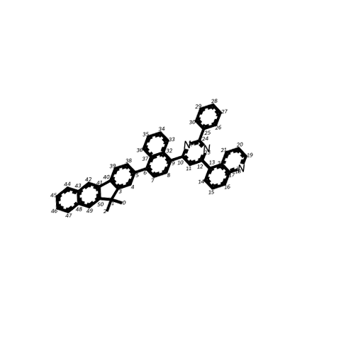 CC1(C)c2cc(-c3ccc(-c4cc(-c5cccc6ncccc56)nc(-c5ccccc5)n4)c4ccccc34)ccc2-c2cc3ccccc3cc21